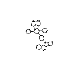 C1=CC2=C(C=CC3c4ccccc4N(c4ccc(-c5cc(-c6ccccc6)c6c(c5-c5ccccc5)-c5cccc7cccc-6c57)cc4)C23)CC1